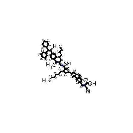 CCCCCCC(/C=C(\S)c1sc(-c2cc3sc4cc(/C=C(/C#N)C(=O)O)sc4c3s2)cc1CCCCCC)=C(/C)c1ccc(C=C(c2ccccc2)c2ccccc2)cc1